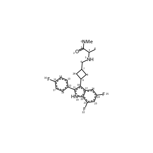 CNC(=O)C(C)NCC1CC(c2c(-c3ccc(F)cc3)[nH]c3c(F)cc(F)cc23)C1